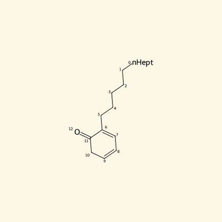 CCCCCCCCCCCCC1=CC=CCC1=O